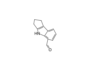 O=Cc1cccc2c3c([nH]c12)CCC3